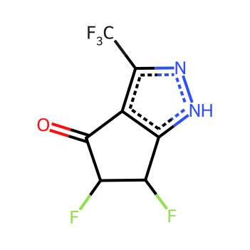 O=C1c2c(C(F)(F)F)n[nH]c2C(F)C1F